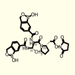 C[C@H](NC(=O)c1ccc2c(c1)B(O)OC2)[C@H](NC(=O)c1ccc2c(c1)B(O)OC2)C(=O)N1CCC[C@H]1CC(=O)ON1C(=O)CCC1=O